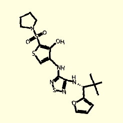 CC(C)(C)[C@@H](Nc1nsnc1Nc1csc(S(=O)(=O)N2CCCC2)c1O)c1ccco1